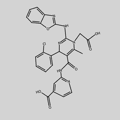 CC1=C(C(=O)Nc2cc(C(=O)O)ccn2)C(c2ccccc2Cl)N=C(Nc2nc3ccccc3o2)N1CC(=O)O